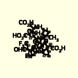 Cc1ccccc1C[C@H](NC(=O)[C@H](CCC(=O)O)NC(=O)[C@@H](N)CC(=O)O)C(=O)N(C(=O)CCC(=O)O)[C@H](C(=O)N[C@@H](CC(C)C)C(=O)NC(C=O)CC(F)(F)F)C1CCCCC1